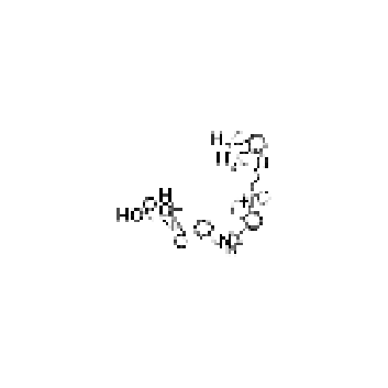 Cc1cccc(OCCCC(=O)N2CCCc3c(-c4cnn(Cc5cccc(C(=O)NC[C@H](O)CC(=O)O)c5)c4)cccc32)c1C